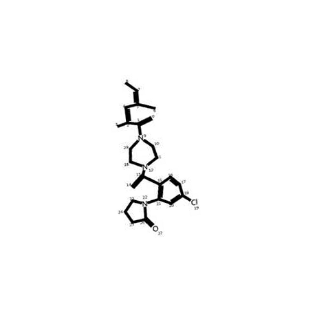 C=C(/C(C)=C\C(C)=C/C)N1CCN(C(=C)c2ccc(Cl)cc2N2CCCC2=O)CC1